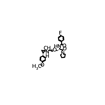 COc1ccc([C@@H]2C[C@@]2(C)NCCOC[C@H](NC(=O)c2ccc(F)cc2)C(=O)N2CCCC2)cc1